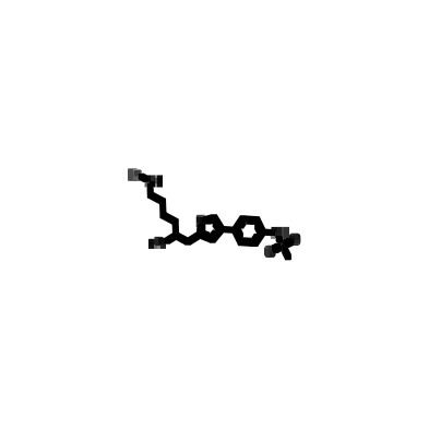 CCCC(CCCCNCC)Cc1cc(-c2ccc(NS(C)(=O)=O)cc2)cs1